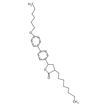 CCCCCCCCC1CC(c2ccc(-c3ccc(OCCCCCC)cc3)cc2)OC1=O